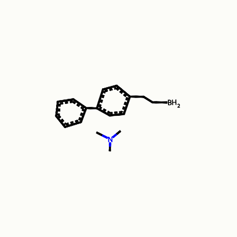 BCCc1ccc(-c2ccccc2)cc1.CN(C)C